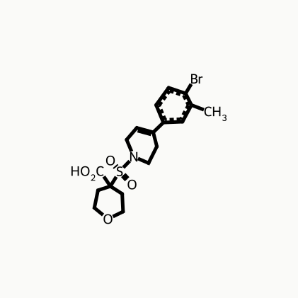 Cc1cc(C2=CCN(S(=O)(=O)C3(C(=O)O)CCOCC3)CC2)ccc1Br